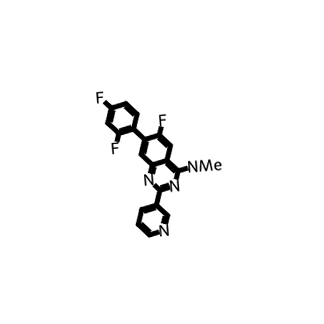 CNc1nc(-c2cccnc2)nc2cc(-c3ccc(F)cc3F)c(F)cc12